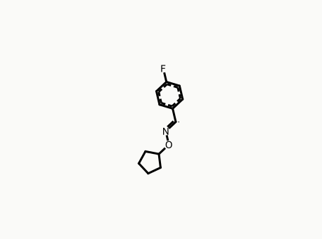 Fc1ccc(/[C]=N/OC2CCCC2)cc1